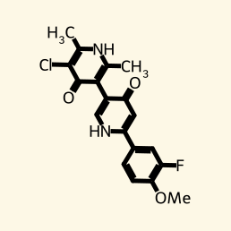 COc1ccc(-c2cc(=O)c(-c3c(C)[nH]c(C)c(Cl)c3=O)c[nH]2)cc1F